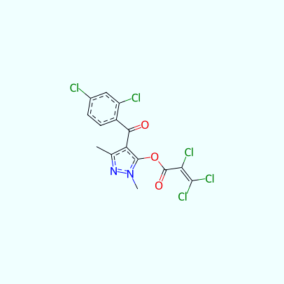 Cc1nn(C)c(OC(=O)C(Cl)=C(Cl)Cl)c1C(=O)c1ccc(Cl)cc1Cl